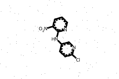 O=[N+]([O-])c1cccnc1Nc1ccc(Cl)nc1